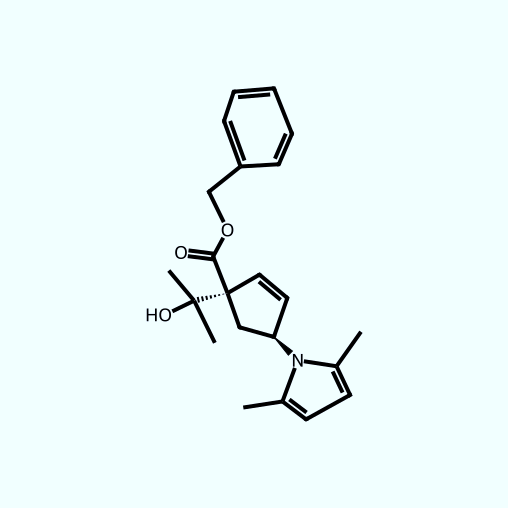 Cc1ccc(C)n1[C@@H]1C=C[C@@](C(=O)OCc2ccccc2)(C(C)(C)O)C1